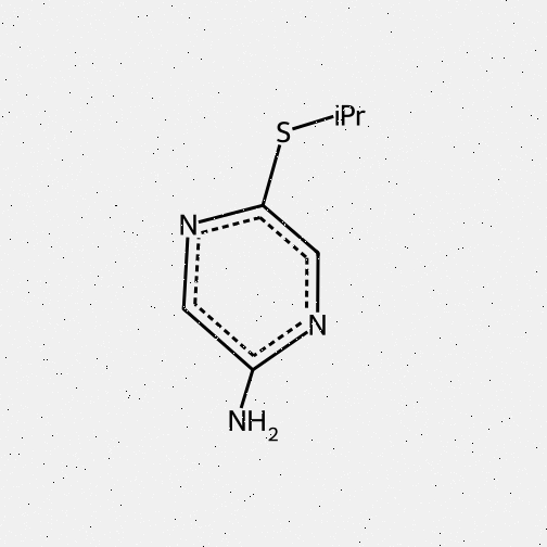 CC(C)Sc1cnc(N)cn1